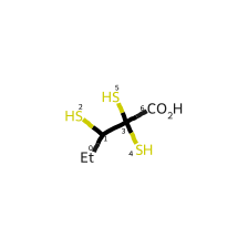 CCC(S)C(S)(S)C(=O)O